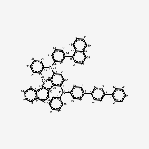 c1ccc(-c2ccc(-c3ccc(N(c4ccccc4)c4ccc(N(c5ccccc5)c5cccc(-c6cccc7ccccc67)c5)c5oc6c7ccccc7ccc6c45)cc3)cc2)cc1